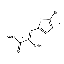 COC(=O)/C(=C/c1ccc(Br)o1)NC(C)=O